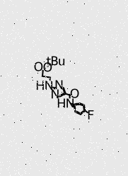 CC(C)(C)OC(=O)CCNc1ncc(C(=O)Nc2ccc(F)cc2)cn1